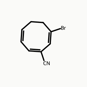 N#CC1=C/C=C\CC/C(Br)=C\1